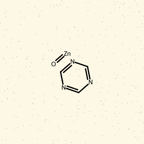 [O]=[Zn].c1ncncn1